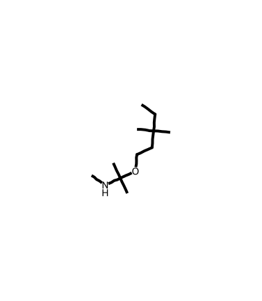 CCC(C)(C)CCOC(C)(C)NC